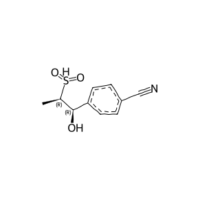 C[C@H]([C@H](O)c1ccc(C#N)cc1)[SH](=O)=O